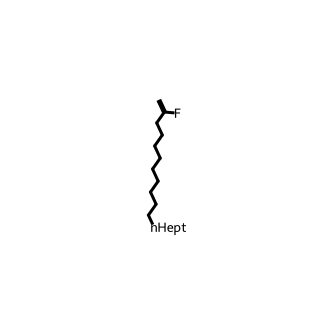 C=C(F)CCCCCCCCCCCCCCCC